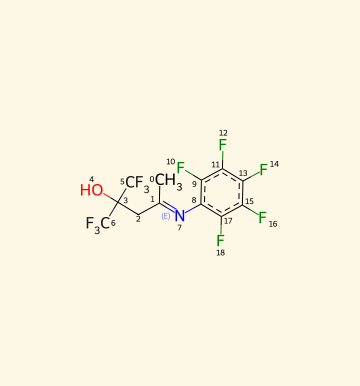 C/C(CC(O)(C(F)(F)F)C(F)(F)F)=N\c1c(F)c(F)c(F)c(F)c1F